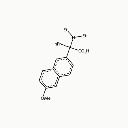 CCCC(C(=O)O)(c1ccc2cc(OC)ccc2c1)N(CC)CC